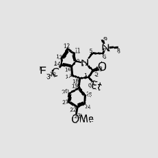 CCC1C(=O)N(CCN(C)C)c2cccc(C(F)(F)F)c2CC1c1ccc(OC)cc1